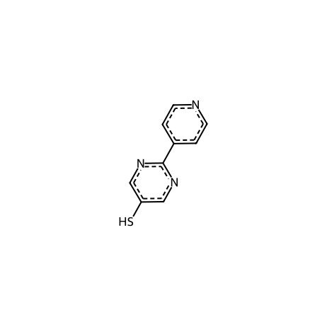 Sc1cnc(-c2ccncc2)nc1